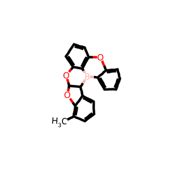 Cc1cccc2c1OC1Oc3cccc4c3B(c3ccccc3O4)C21